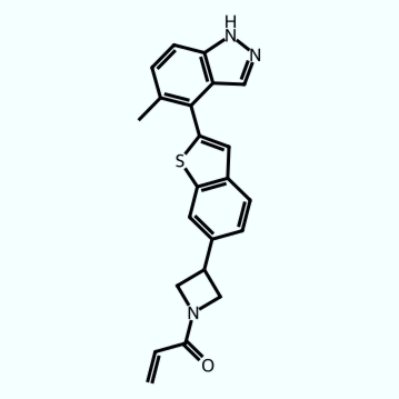 C=CC(=O)N1CC(c2ccc3cc(-c4c(C)ccc5[nH]ncc45)sc3c2)C1